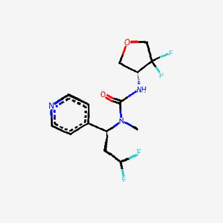 CN(C(=O)N[C@@H]1COCC1(F)F)[C@@H](CC(F)F)c1ccncc1